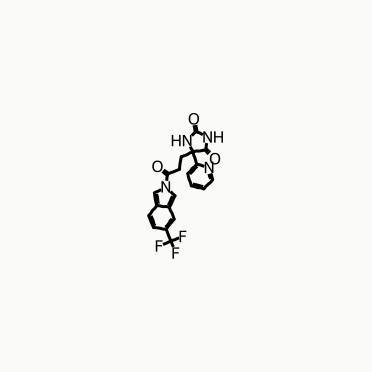 O=C1NC(=O)C(CCC(=O)n2cc3ccc(C(F)(F)F)cc3c2)(c2ccccn2)N1